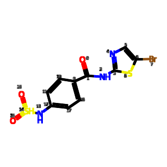 O=C(Nc1ncc(Br)s1)c1ccc(N[SH](=O)=O)cc1